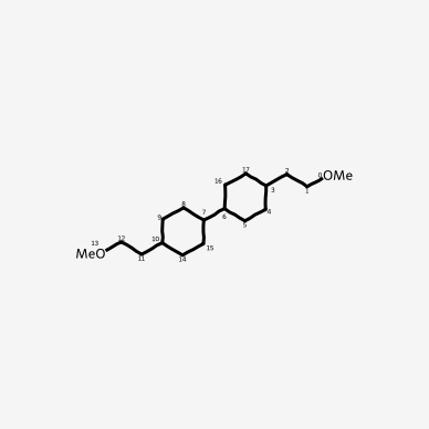 COCCC1CCC(C2CCC(CCOC)CC2)CC1